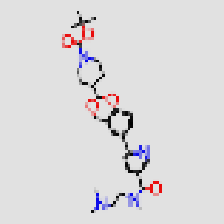 CN(C)CCN(C)C(=O)c1ccc(-c2ccc3c(c2)COC(C2CCN(C(=O)OC(C)(C)C)CC2)O3)nc1